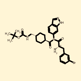 CC(C)(C)OC(=O)NC[C@H]1CC[C@H](C(=O)N(C(=O)[C@@H](N)Cc2cccc(Br)c2)c2ccc3cn[nH]c3c2)CC1